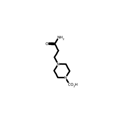 NC(=O)CCN1CCN(C(=O)O)CC1